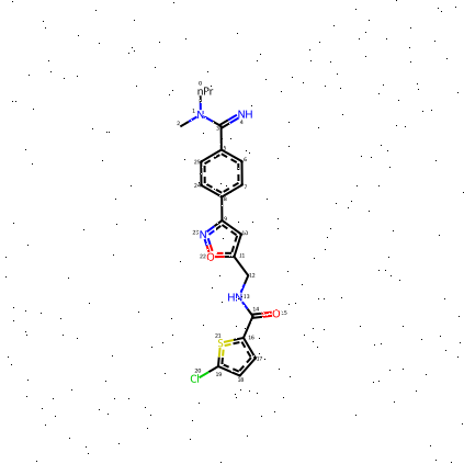 CCCN(C)C(=N)c1ccc(-c2cc(CNC(=O)c3ccc(Cl)s3)on2)cc1